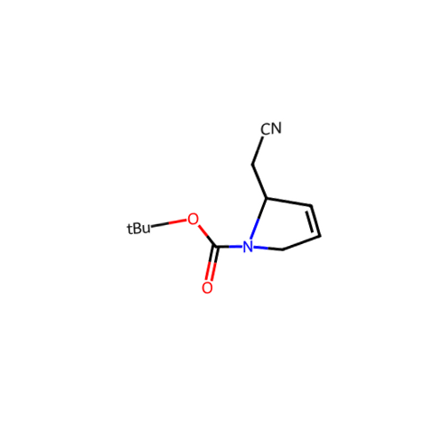 CC(C)(C)OC(=O)N1CC=CC1CC#N